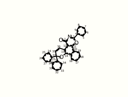 O=c1nc(-c2ccccc2)oc2c1c1c(c3ccccc32)OC(c2ccccc2)(c2ccccc2)C=C1